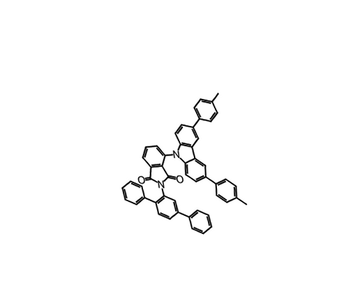 Cc1ccc(-c2ccc3c(c2)c2cc(-c4ccc(C)cc4)ccc2n3-c2cccc3c2C(=O)N(c2cc(-c4ccccc4)ccc2-c2ccccc2)C3=O)cc1